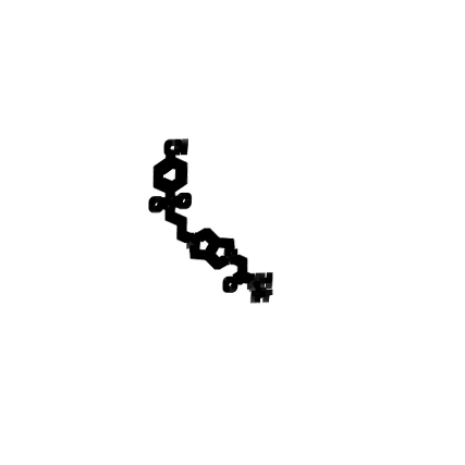 CC(C)NC(=O)CN1CC2CN(CCCS(=O)(=O)c3ccc(C#N)cc3)CC2C1